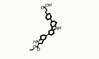 CCOC(=O)c1cc2cc(-c3ccc4[nH]c5ccc(-c6ccc(CCC(=O)O)cc6)cc5c4c3)ccc2[nH]1